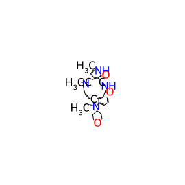 CCN(c1cccc2c1CC=CCN(C)Cc1cc(C)[nH]c(=O)c1CNC2=O)C1CCOCC1